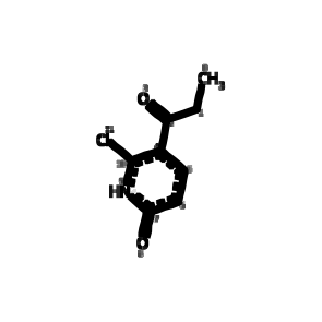 CCC(=O)c1ccc(=O)[nH]c1Cl